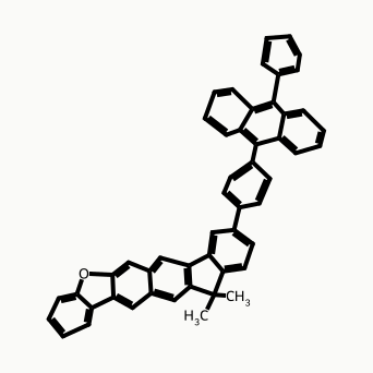 CC1(C)c2ccc(-c3ccc(-c4c5ccccc5c(-c5ccccc5)c5ccccc45)cc3)cc2-c2cc3cc4oc5ccccc5c4cc3cc21